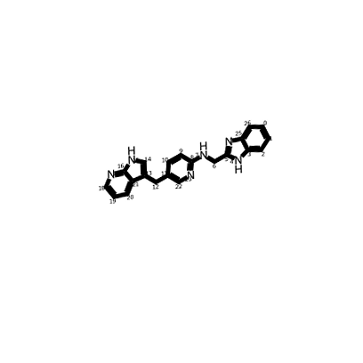 c1ccc2[nH]c(CNc3ccc(Cc4c[nH]c5ncccc45)cn3)nc2c1